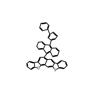 C1=c2c(-c3cccc(-c4ccccc4)c3)c3ccccc3c(-c3cc4c5ccccc5oc4c4cc5sc6ccccc6c5cc34)c2=CCC1